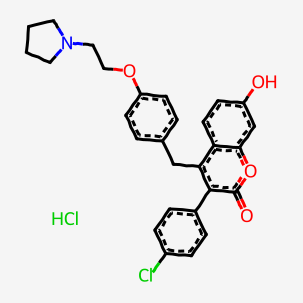 Cl.O=c1oc2cc(O)ccc2c(Cc2ccc(OCCN3CCCC3)cc2)c1-c1ccc(Cl)cc1